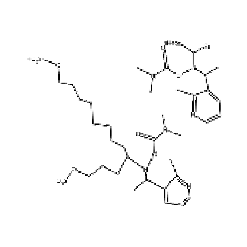 CCCCCCCC(CC)N(OC(=O)N(C)C)C(C)c1cccnc1C.Cc1ncccc1C(C)N(OC(=O)N(C)C)C(CCCCCCCCOS(=O)(=O)O)CCCOS(=O)(=O)O